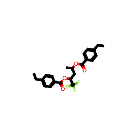 CCc1ccc(C(=O)OC(C)CC(OC(=O)c2ccc(CC)cc2)C(F)(F)F)cc1